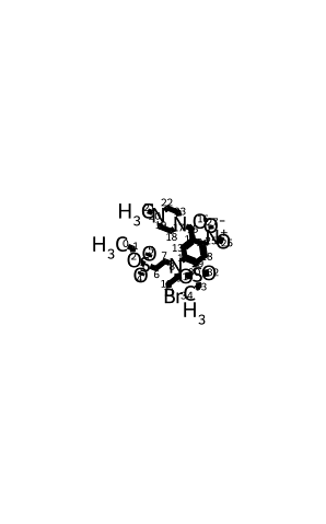 CCOS(=O)(=O)CCN(CCBr)c1cc(C(=O)N2CCN(C)CC2)c([N+](=O)[O-])cc1S(=O)(=O)CC